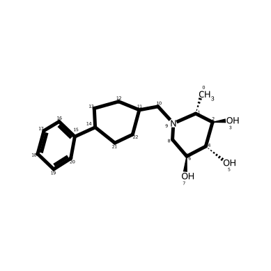 C[C@@H]1[C@@H](O)[C@H](O)[C@@H](O)CN1CC1CCC(c2ccccc2)CC1